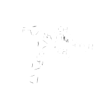 CC1Cc2c(OCc3ccc(-c4ccccc4)cn3)ccc3c2c(c(CC(C)(C)C=NOCC(=O)O)n3Cc2ccc(F)cc2)S1